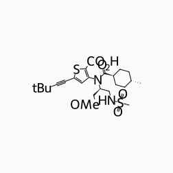 COC[C@H](CNS(C)(=O)=O)N(c1cc(C#CC(C)(C)C)sc1C(=O)O)C(=O)[C@H]1CC[C@H](C)CC1